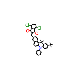 CC(C)(C)c1ccc2c(c1)C(C)(C)c1c(ccc3cc(C=C4C(=O)c5c(Cl)ccc(Cl)c5C4=O)ccc13)N2c1ccccc1